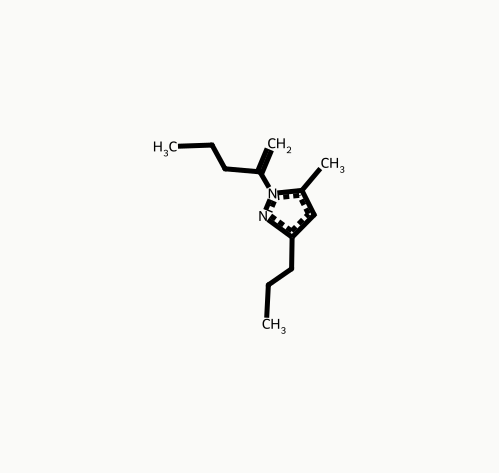 C=C(CCC)n1nc(CCC)cc1C